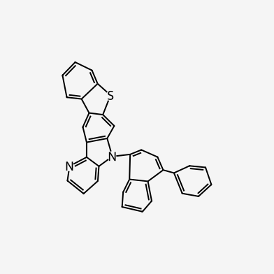 c1ccc(-c2ccc(-n3c4cc5sc6ccccc6c5cc4c4ncccc43)c3ccccc23)cc1